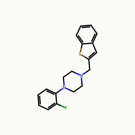 Fc1ccccc1N1CCN(Cc2cc3ccccc3s2)CC1